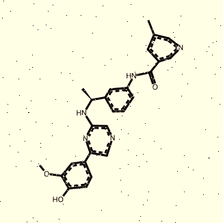 COc1cc(-c2cncc(N[C@@H](C)c3cccc(NC(=O)c4cncc(C)c4)c3)n2)ccc1O